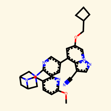 COc1ccc(CN2C3CC2CN(c2ccc(-c4cc(OCC5CCC5)cn5ncc(C#N)c45)cn2)C3)cn1